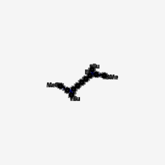 CCCCc1ccc(N(c2ccc(/C=C/c3ccc(OC)cc3)cc2)c2ccc(-c3ccc(-c4ccc(-c5ccc(-c6ccc(N(c7ccc(/C=C/c8ccc(OC)cc8)cc7)c7ccc(CCCC)cc7CC)cc6)cc5)cc4)cc3)cc2)c(C)c1